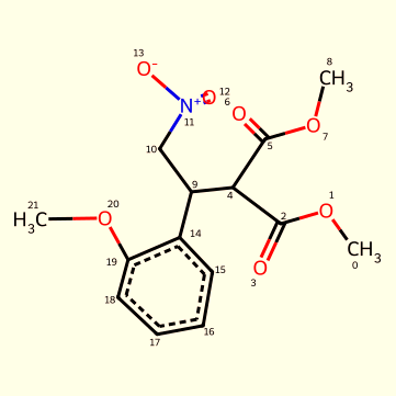 COC(=O)C(C(=O)OC)C(C[N+](=O)[O-])c1ccccc1OC